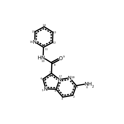 Nc1ccc2ncc(C(=O)Nc3ccccn3)n2n1